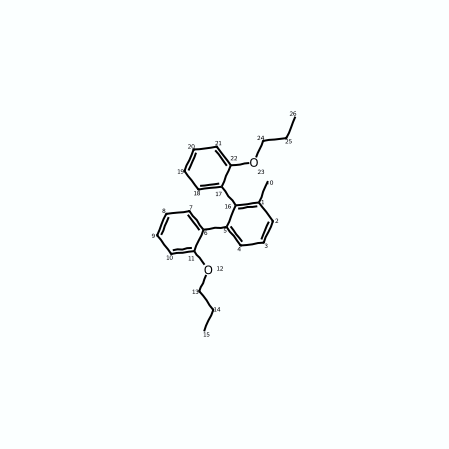 [CH2]c1cccc(-c2ccccc2OCCC)c1-c1ccccc1OCCC